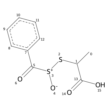 CC(S[S+]([O-])C(=O)c1ccccc1)C(=O)O